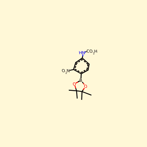 CC1(C)OB(c2ccc(NC(=O)O)cc2[N+](=O)[O-])OC1(C)C